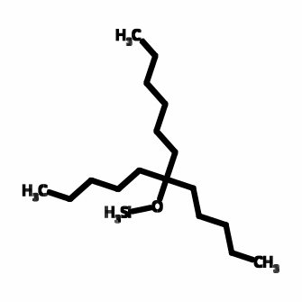 CCCCCCC(CCCCC)(CCCCC)O[SiH3]